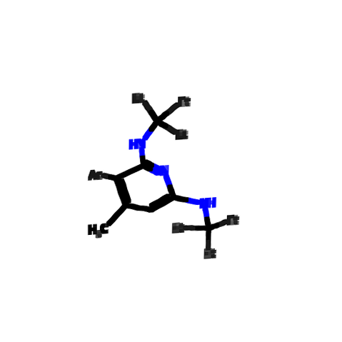 CCC(CC)(CC)Nc1cc(C)c(C(C)=O)c(NC(CC)(CC)CC)n1